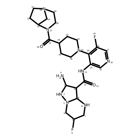 NC1NN2CC(F)CNC2C1C(=O)Nc1cncc(F)c1N1CCC(C(=O)N2CCN3CCC2C3)CC1